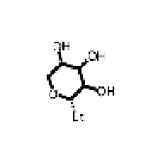 CC[C@@H]1OC[C@@H](O)C(O)C1O